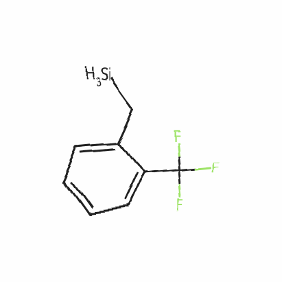 FC(F)(F)c1ccccc1C[SiH3]